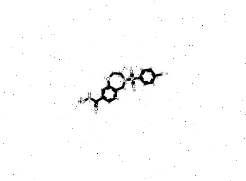 C[C@H]1COc2cc(C(=O)NO)ccc2CN1S(=O)(=O)c1ccc(F)cc1